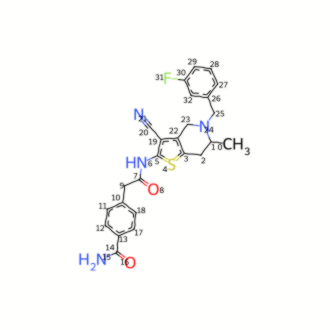 CC1Cc2sc(NC(=O)Cc3ccc(C(N)=O)cc3)c(C#N)c2CN1Cc1cccc(F)c1